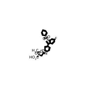 CS(=O)(=O)N(Cc1nc2ccc(-c3cn(S(=O)(=O)c4ccccc4)c4cc(F)ccc34)cc2o1)C(=O)O